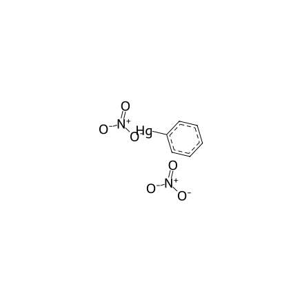 O=[N+]([O-])[O-].O=[N+]([O-])[O-].[Hg][c]1ccccc1